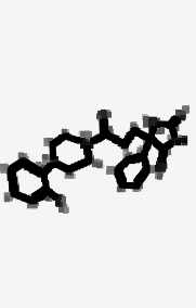 O=C1NC(=O)C(CCC(=O)N2CCN(c3ccccc3Cl)CC2)(c2ccccc2)N1